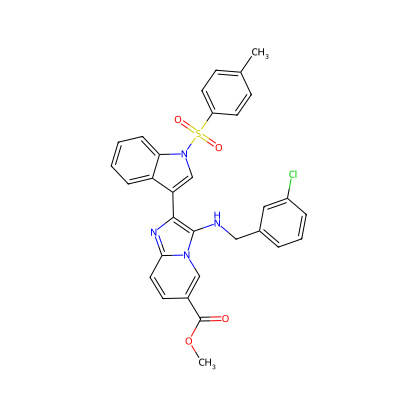 COC(=O)c1ccc2nc(-c3cn(S(=O)(=O)c4ccc(C)cc4)c4ccccc34)c(NCc3cccc(Cl)c3)n2c1